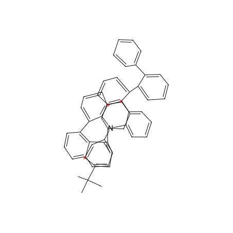 CC(C)(C)c1ccc(N(c2ccccc2-c2ccccc2-c2ccccc2-c2ccccc2)c2ccccc2-c2cccc3cccc(C4CCCCC4)c23)cc1